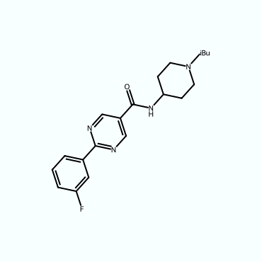 CCC(C)N1CCC(NC(=O)c2cnc(-c3cccc(F)c3)nc2)CC1